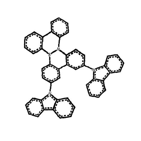 c1ccc2c(c1)B1c3ccc(-n4c5ccccc5c5ccccc54)cc3-c3cc(-n4c5ccccc5c5ccccc54)ccc3N1c1ccccc1-2